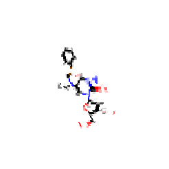 O=CN(CSc1ccccc1)c1cn([C@H]2C[C@H](O)[C@@H](CO)O2)c(=O)[nH]c1=O